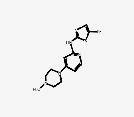 CN1CCN(c2ccnc(Nc3ncc(Br)s3)c2)CC1